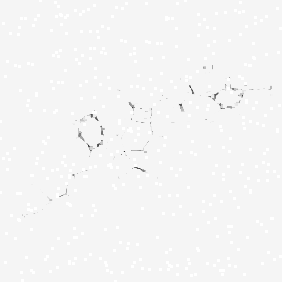 NCC(O)CSCc1cnccc1SC1(C(=O)O)CS[C@@H]2[C@H](NC(=O)C(=NO)c3nc(N)sc3Cl)C(=O)N2C1